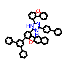 c1ccc(-c2ccc(C3=NC(c4cccc5oc6ccccc6c45)NC(c4ccc(-c5cc(-c6ccccc6)cc(-c6ccccc6)c5)c5oc6cc7ccccc7cc6c45)N3)cc2)cc1